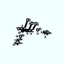 O=C([O-])[O-].O=C([O-])[O-].O=C([O-])[O-].[Al+3].[Al+3].[Fe+3].[Fe+3].[O-2].[O-2].[O-2]